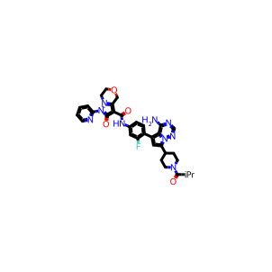 CC(C)C(=O)N1CCC(c2cc(-c3ccc(NC(=O)c4c5n(n(-c6ccccn6)c4=O)CCOC5)cc3F)c3c(N)ncnn23)CC1